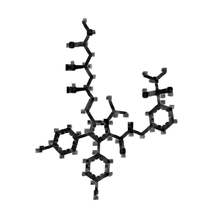 COC(=O)C[C@H](O)C[C@H](O)C=Cc1c(-c2ccc(F)cc2)c(-c2ccc(F)cc2)c(C(=O)NCc2cccc(S(=O)(=O)N(C)C)c2)n1C(C)C